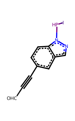 O=CC#Cc1ccc2c(cnn2PI)c1